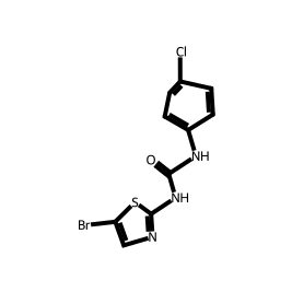 O=C(Nc1ccc(Cl)cc1)Nc1ncc(Br)s1